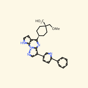 COC[C@]1(C(=O)O)CC[C@@H](c2nc3c(-c4ccc(-c5ccccc5)nc4)cnn3c3[nH]ccc32)CC1